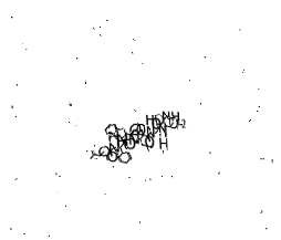 CCCC(NC(=O)C1Cc2ccccc2CN1C(=O)C(NC(=O)OCC(C)C)C1CCCCC1)C(=O)C(=O)NCC(=O)NC(COC(C)(C)C)C(N)=O